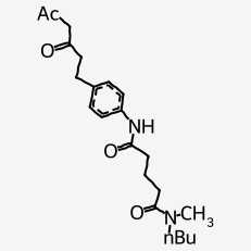 CCCCN(C)C(=O)CCCC(=O)Nc1ccc(CCC(=O)CC(C)=O)cc1